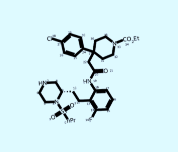 CCCS(=O)(=O)N1CCNC[C@@H]1CCc1c(F)cccc1NC(=O)CC1(c2ccc(Cl)cc2)CCN(C(=O)OCC)CC1